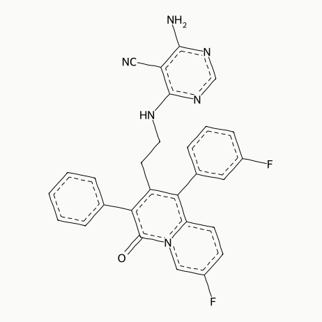 N#Cc1c(N)ncnc1NCCc1c(-c2ccccc2)c(=O)n2cc(F)ccc2c1-c1cccc(F)c1